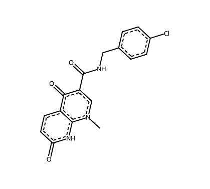 Cn1cc(C(=O)NCc2ccc(Cl)cc2)c(=O)c2ccc(=O)[nH]c21